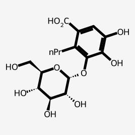 CCCc1c(C(=O)O)cc(O)c(O)c1O[C@H]1O[C@H](CO)[C@@H](O)[C@H](O)[C@H]1O